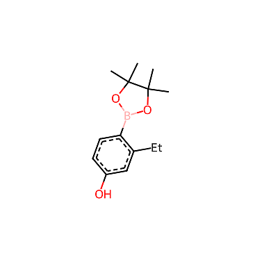 CCc1cc(O)ccc1B1OC(C)(C)C(C)(C)O1